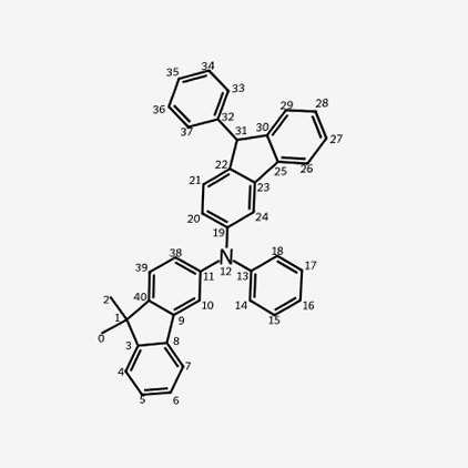 CC1(C)c2ccccc2-c2cc(N(c3ccccc3)c3ccc4c(c3)-c3ccccc3C4c3ccccc3)ccc21